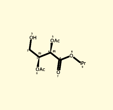 CC(=O)O[C@@H](CO)[C@@H](OC(C)=O)C(=O)OC(C)C